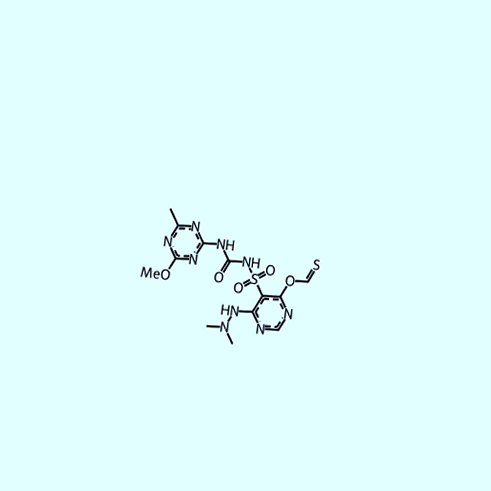 COc1nc(C)nc(NC(=O)NS(=O)(=O)c2c(NN(C)C)ncnc2OC=S)n1